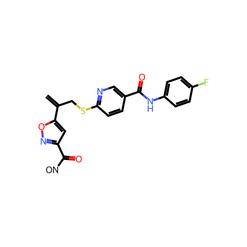 C=C(CSc1ccc(C(=O)Nc2ccc(F)cc2)cn1)c1cc(C(=O)N=O)no1